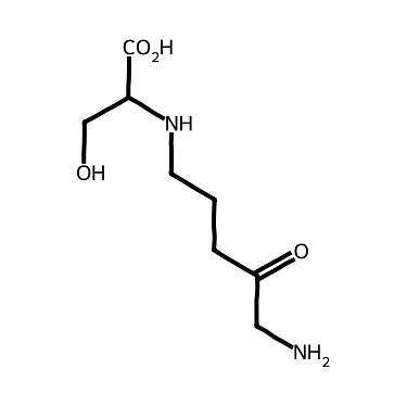 NCC(=O)CCCNC(CO)C(=O)O